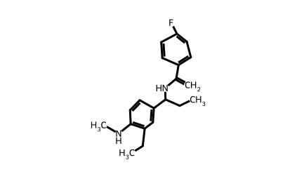 C=C(NC(CC)c1ccc(NC)c(CC)c1)c1ccc(F)cc1